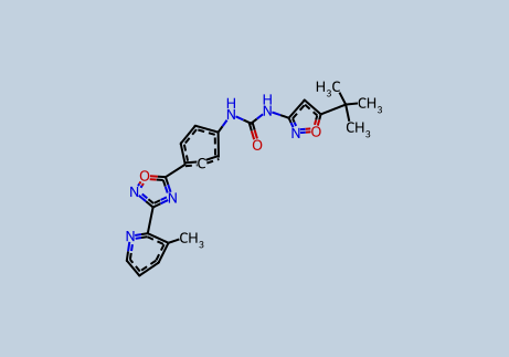 Cc1cccnc1-c1noc(-c2ccc(NC(=O)Nc3cc(C(C)(C)C)on3)cc2)n1